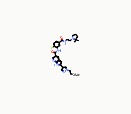 COCCn1cc(-c2cc3cc(C(=O)Nc4cc(C(=O)NCCN5CCCC5(C)C)ccc4F)cnc3[nH]2)cn1